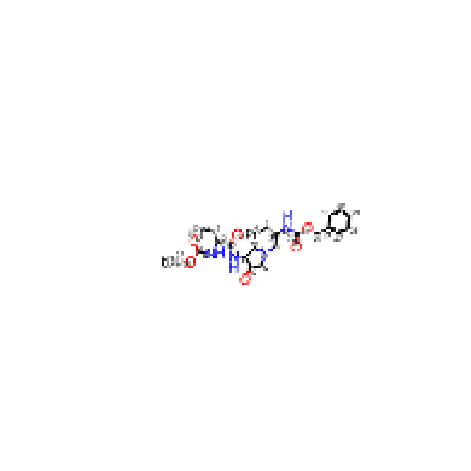 CC(C)C[C@@H](CN1CC(=O)C(NC(=O)[C@H](CC(C)C)NC(=O)OC(C)(C)C)C1)NC(=O)OCc1ccccc1